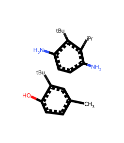 CC(C)c1c(N)ccc(N)c1C(C)(C)C.Cc1ccc(O)c(C(C)(C)C)c1